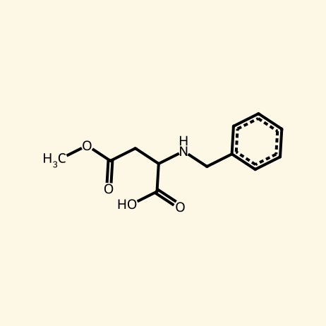 COC(=O)CC(NCc1ccccc1)C(=O)O